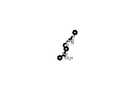 O=C(O)c1nc(-c2ccc3c(c2)CC[C@H](CNC[C@H](O)COc2ccccc2)O3)sc1-c1ccccc1